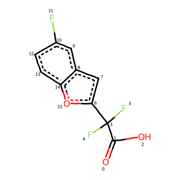 O=C(O)C(F)(F)c1cc2cc(F)ccc2o1